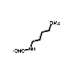 COCCCCN[C]=O